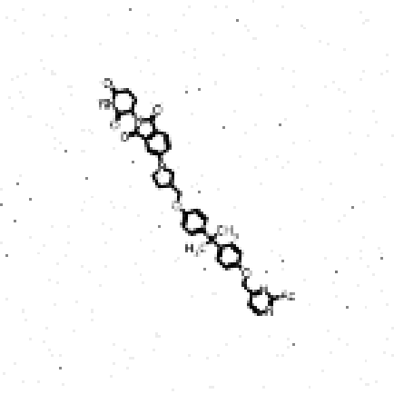 CC(=O)c1nccc(COc2ccc(C(C)(C)c3ccc(OCC4CCN(c5ccc6c(c5)C(=O)N(C5CCC(=O)NC5=O)C6=O)C4)cc3)cc2)n1